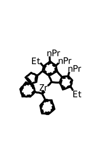 CCCc1cc(CC)cc2c1-c1c(CCC)c(CCC)c(CC)c(C3=CC=CC3)c1[CH]2[Zr]=[C](c1ccccc1)c1ccccc1